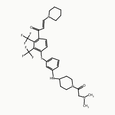 CN(C)CC(=O)N1CCC(Nc2cccc(Sc3ccc(C(=O)C=CN4CCCCC4)c(C(F)(F)F)c3C(F)(F)F)c2)CC1